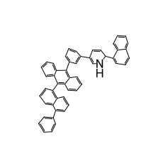 C1=CC(c2cccc3ccccc23)NC=C1c1cccc(-c2c3ccccc3c(-c3cccc4c(-c5ccccc5)cccc34)c3ccccc23)c1